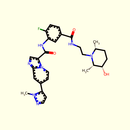 C[C@@H]1CC[C@H](O)[C@H](C)N1CCNC(=O)c1ccc(F)c(NC(=O)c2cnc3cc(-c4ccnn4C)ccn23)c1